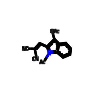 CC(=O)Oc1c(C=C(C#N)C#N)n(C(C)=O)c2ccccc12